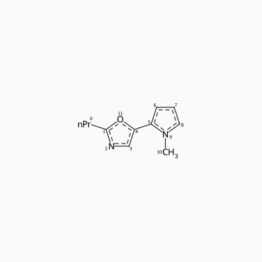 CCCc1ncc(-c2cccn2C)o1